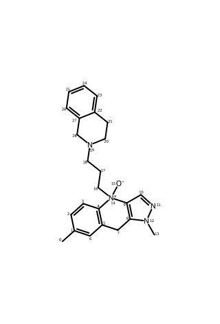 Cc1ccc2c(c1)Cc1c(cnn1C)[N+]2([O-])CCCN1CCc2ccccc2C1